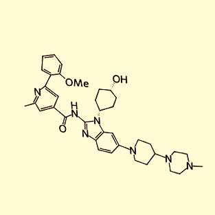 COc1ccccc1-c1cc(C(=O)Nc2nc3ccc(N4CCC(N5CCN(C)CC5)CC4)cc3n2[C@H]2CC[C@@H](O)CC2)cc(C)n1